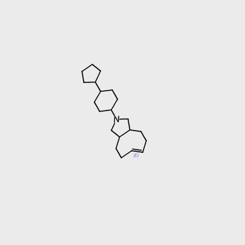 C1=C/CCC2CN(C3CCC(C4CCCC4)CC3)CC2CC/1